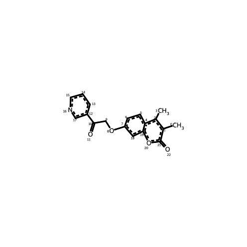 Cc1c(C)c2ccc(OCC(=O)c3cccnc3)cc2oc1=O